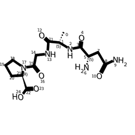 C[C@H](NC(=O)[C@@H](N)CC(N)=O)C(=O)NCC(=O)N1CCC[C@@H]1C(=O)O